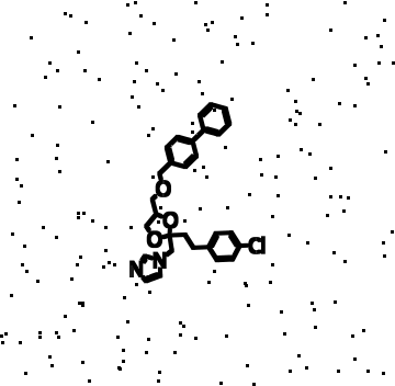 Clc1ccc(CCC2(Cn3ccnc3)OCC(COCc3ccc(-c4ccccc4)cc3)O2)cc1